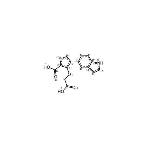 O=C(O)COc1c(-c2ccc3[nH]ccc3c2)csc1C(=O)O